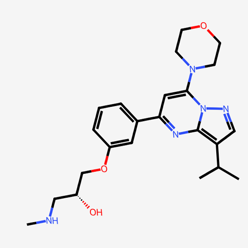 CNC[C@@H](O)COc1cccc(-c2cc(N3CCOCC3)n3ncc(C(C)C)c3n2)c1